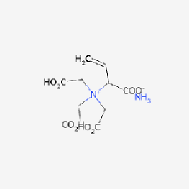 C=CC(C(=O)[O-])[N+](CC(=O)O)(CC(=O)O)CC(=O)O.N